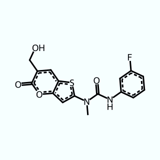 CN(C(=O)Nc1cccc(F)c1)c1cc2oc(=O)c(CO)cc2s1